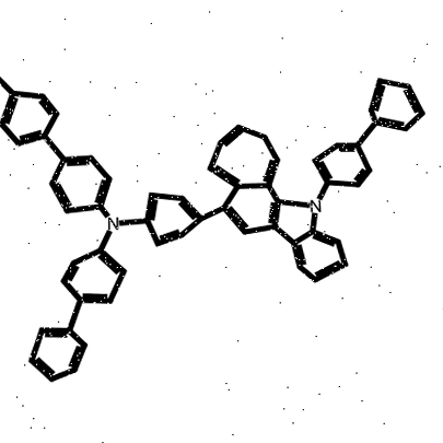 Cc1ccc(-c2ccc(N(c3ccc(-c4ccccc4)cc3)c3ccc(-c4cc5c6ccccc6n(-c6ccc(-c7ccccc7)cc6)c5c5c4=CC=CCC=5)cc3)cc2)cc1